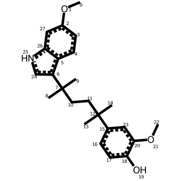 COc1ccc2c(C(C)(C)CCC(C)(C)c3ccc(O)c(OC)c3)c[nH]c2c1